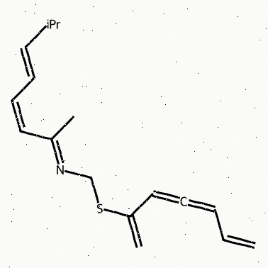 C=CC=C=CC(=C)SC/N=C(C)/C=C\C=C\C(C)C